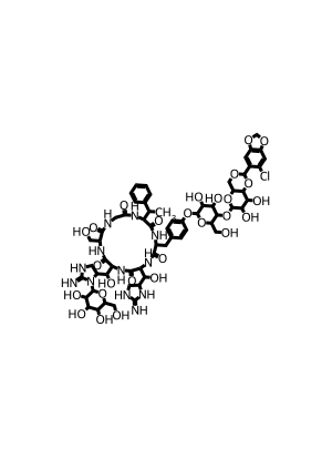 CC(c1ccccc1)C1NC(=O)CNC(=O)C(CO)NC(=O)C(C(O)C2CNC(=N)N2C2OC(CO)C(O)C(O)C2O)NC(=O)C(C(O)C2CNC(=N)N2)NC(=O)C(Cc2ccc(OC3OC(CO)C(OC4OC5COC(c6cc7c(cc6Cl)OCO7)OC5C(O)C4O)C(O)C3O)cc2)NC1=O